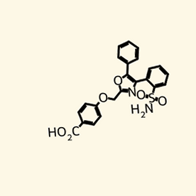 NS(=O)(=O)c1ccccc1-c1nc(COc2ccc(C(=O)O)cc2)oc1-c1ccccc1